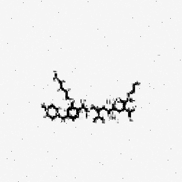 CCCCNC(=O)C(CC(O)C(N)CC(CNC(=O)c1ccc(CN2CCN(C)CC2)cc1OCCCCOC)C(C)C)C(C)C